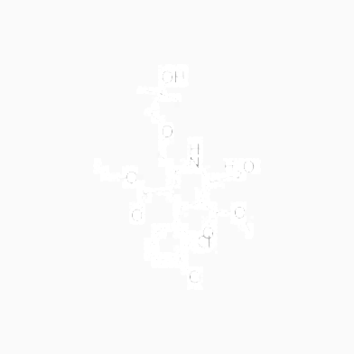 CCOC(=O)C1=C(COCC(C)(C)O)NC(C)=C(C(=O)OC)C1c1cccc(Cl)c1Cl.O